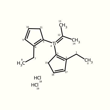 CCC1=[C]([Ti]([C]2=C(CC)C=CC2)=[C](C)C)CC=C1.Cl.Cl